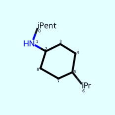 CCCC(C)NC1CCC(C(C)C)CC1